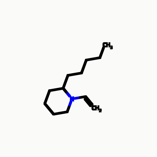 C=CN1CCCCC1CCCCC